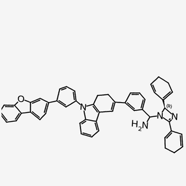 NC(c1cccc(C2=Cc3c(n(-c4cccc(-c5ccc6c(c5)oc5ccccc56)c4)c4ccccc34)CC2)c1)N1C(C2=CCCC=C2)=N[C@@H]1C1=CCCC=C1